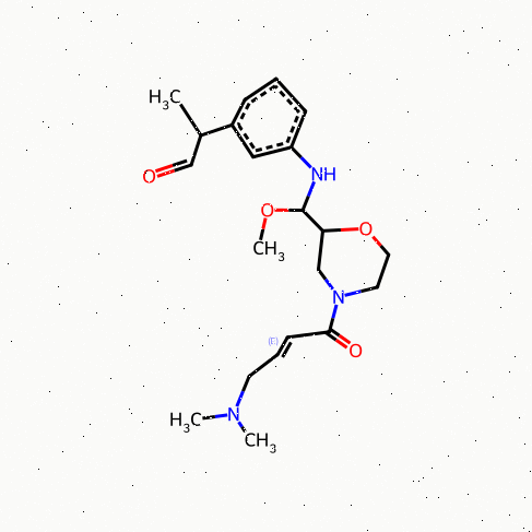 COC(Nc1cccc(C(C)C=O)c1)C1CN(C(=O)/C=C/CN(C)C)CCO1